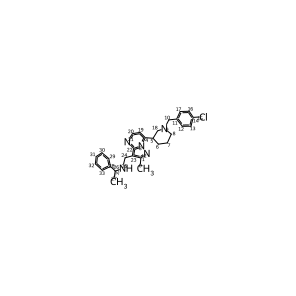 Cc1nn2c(C3CCCN(Cc4ccc(Cl)cc4)C3)ccnc2c1CN[C@@H](C)c1ccccc1